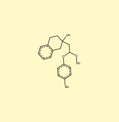 CCCOC(CC1(CCC)CCc2ccccc2C1)Oc1ccc(C(C)CC)cc1